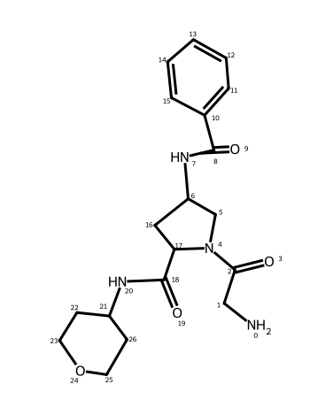 NCC(=O)N1CC(NC(=O)c2ccccc2)CC1C(=O)NC1CCOCC1